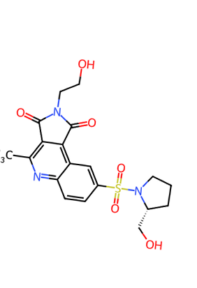 Cc1nc2ccc(S(=O)(=O)N3CCC[C@@H]3CO)cc2c2c1C(=O)N(CCO)C2=O